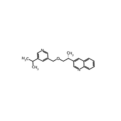 CC(C)c1cncc(COC[C@H](C)c2cnc3ccccc3c2)c1